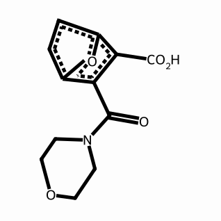 O=C(O)c1c(C(=O)N2CCOCC2)c2ccc1o2